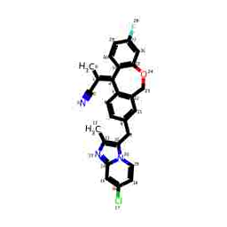 CC(C#N)=C1c2ccc(Cc3c(C)nc4cc(Cl)ccn34)cc2COc2cc(F)ccc21